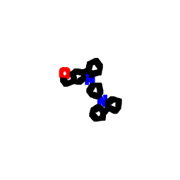 c1ccc2c(c1)c1ccccc1n2-c1ccc(-n2c3ccccc3c3cc4occc4cc32)cc1